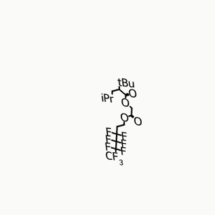 CC(C)CC(C(=O)OCC(=O)OCCC(F)(F)C(F)(F)C(F)(F)C(F)(F)F)C(C)(C)C